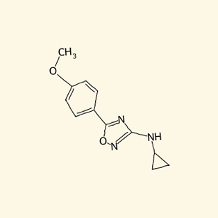 COc1ccc(-c2nc(NC3CC3)no2)cc1